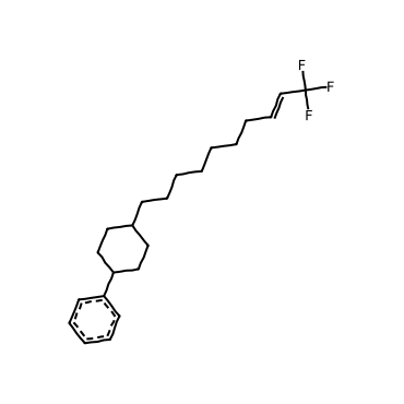 FC(F)(F)C=CCCCCCCCC1CCC(c2ccccc2)CC1